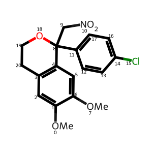 COc1cc2c(cc1OC)C(C[N+](=O)[O-])(c1ccc(Cl)cc1)OCC2